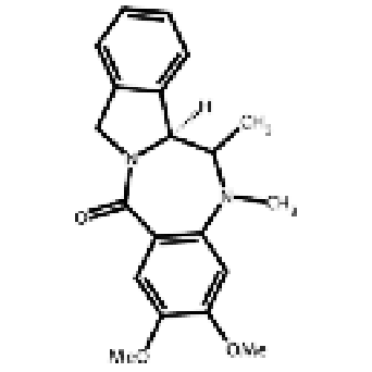 COc1cc2c(cc1OC)N(C)C(C)[C@@H]1c3ccccc3CN1C2=O